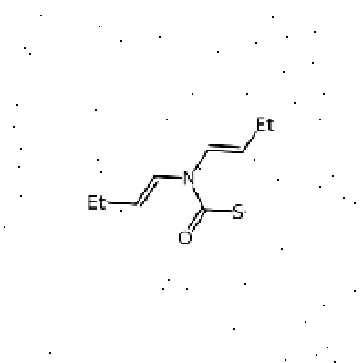 CCC=CN(C=CCC)C(=O)[S]